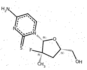 C[C@@]1(F)C[C@@H](CO)O[C@H]1n1ccc(N)nc1=S